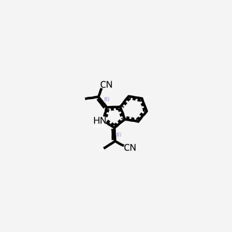 C/C(C#N)=c1\[nH]/c(=C(\C)C#N)c2ccccc12